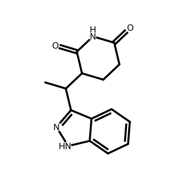 CC(c1n[nH]c2ccccc12)C1CCC(=O)NC1=O